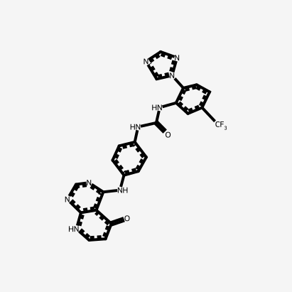 O=C(Nc1ccc(Nc2ncnc3[nH]ccc(=O)c23)cc1)Nc1cc(C(F)(F)F)ccc1-n1cncn1